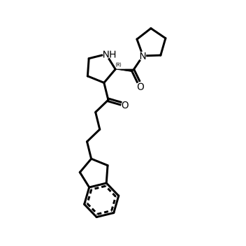 O=C(CCCC1Cc2ccccc2C1)C1CCN[C@H]1C(=O)N1CCCC1